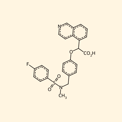 CN(Cc1ccc(OC(C(=O)O)c2cccc3cnccc23)cc1)S(=O)(=O)c1ccc(F)cc1